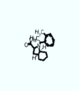 Cc1ccccc1[C@@H](C)N1C(C(=O)O)C[C@@H]2CCCC[C@@H]21